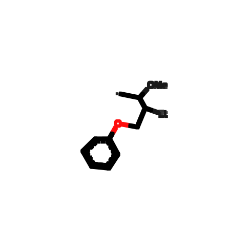 [CH2]C(OC)C(CC)COc1ccccc1